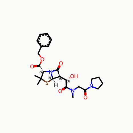 CN(CC(=O)N1CCCC1)C(=O)[C@@H](O)[C@@H]1C(=O)N2[C@@H]1SC(C)(C)[C@@H]2C(=O)OCc1ccccc1